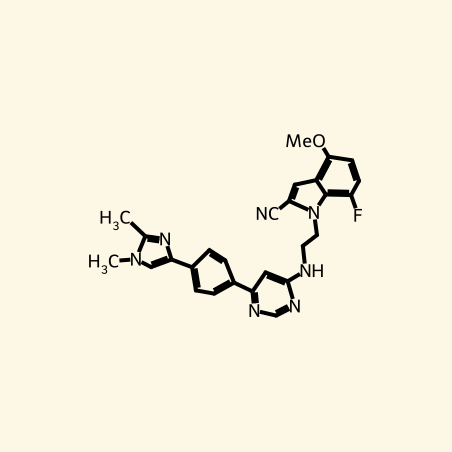 COc1ccc(F)c2c1cc(C#N)n2CCNc1cc(-c2ccc(-c3cn(C)c(C)n3)cc2)ncn1